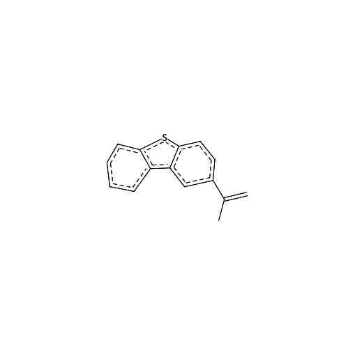 C=C(C)c1ccc2sc3ccccc3c2c1